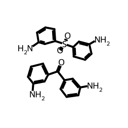 Nc1cccc(C(=O)c2cccc(N)c2)c1.Nc1cccc(S(=O)(=O)c2cccc(N)c2)c1